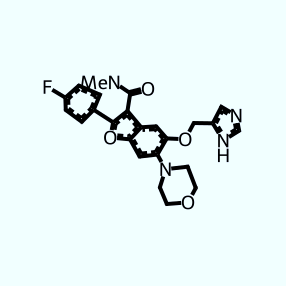 CNC(=O)c1c(-c2ccc(F)cc2)oc2cc(N3CCOCC3)c(OCc3cnc[nH]3)cc12